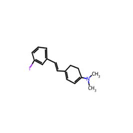 CN(C)C1=CC=C(/C=C/c2cccc(I)c2)CC1